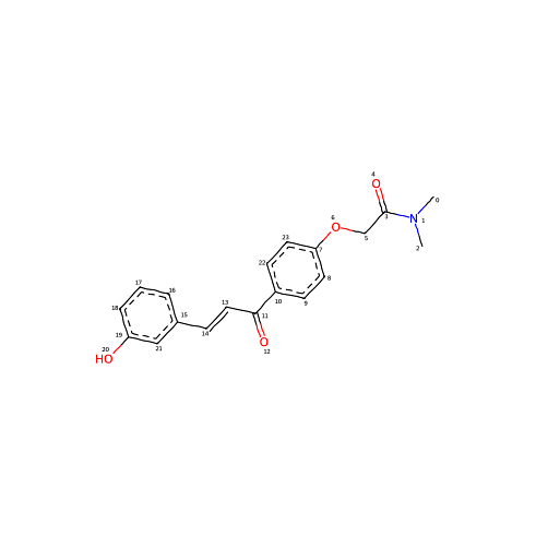 CN(C)C(=O)COc1ccc(C(=O)C=Cc2cccc(O)c2)cc1